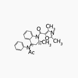 CC(=O)N(c1ccccc1)[C@@H]1C[C@H](C)N(C(=O)c2oc(C)nc2C)c2ccccc21